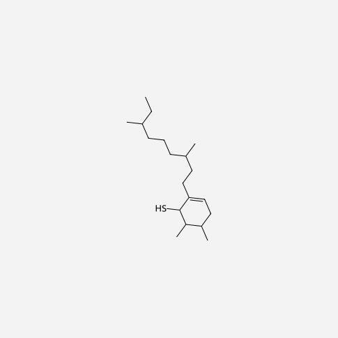 CCC(C)CCCC(C)CCC1=CCC(C)C(C)C1S